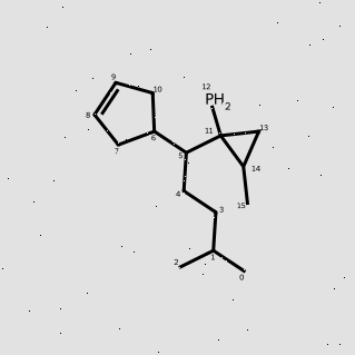 CC(C)CCC(C1CC=CC1)C1(P)CC1C